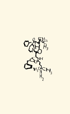 CN(C)NC(=O)[C@]1(Cc2ccccc2)CCCN(C(=O)[C@@H](COCc2ccccc2)NC(=O)/C=C/CC(C)(C)N)C1